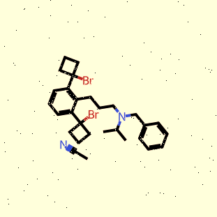 CC#N.CC(C)N(CCCc1c(C2(Br)CCC2)cccc1C1(Br)CCC1)Cc1ccccc1